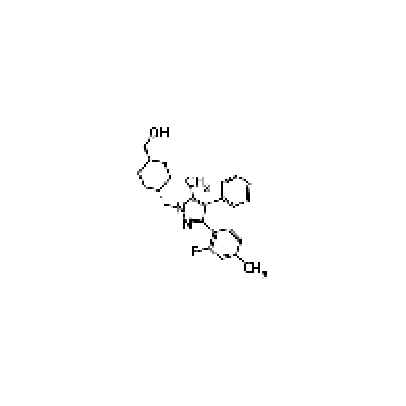 Cc1ccc(-c2nn(C[C@H]3CC[C@H](CO)CC3)c(C)c2-c2ccccc2)c(F)c1